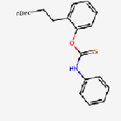 CCCCCCCCCCCCc1ccccc1OC(=S)Nc1ccccc1